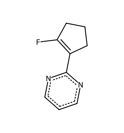 FC1=C(c2ncccn2)CCC1